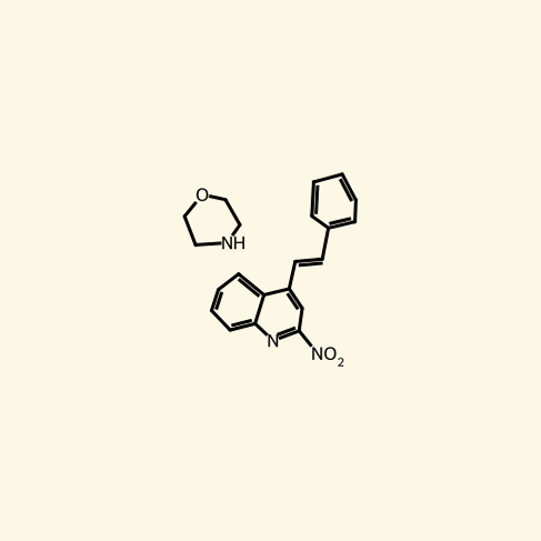 C1COCCN1.O=[N+]([O-])c1cc(C=Cc2ccccc2)c2ccccc2n1